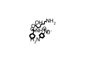 NCCCCC(NC(=O)c1ccccc1)C(=O)O.Nc1ccc([N+](=O)[O-])cc1